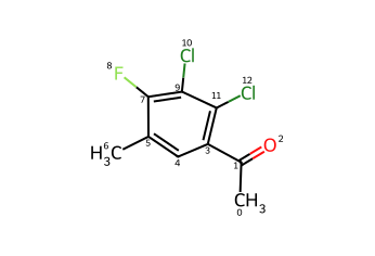 CC(=O)c1cc(C)c(F)c(Cl)c1Cl